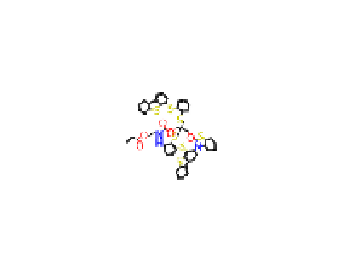 C=CC(=O)OCCNC(=O)OCC(COc1nc2ccccc2s1)(CSc1ccccc1Sc1cccc2c1sc1ccccc12)CSc1ccccc1Sc1cccc2c1sc1ccccc12